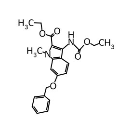 CCOC(=O)Nc1c(C(=O)OCC)n(C)c2cc(OCc3ccccc3)ccc12